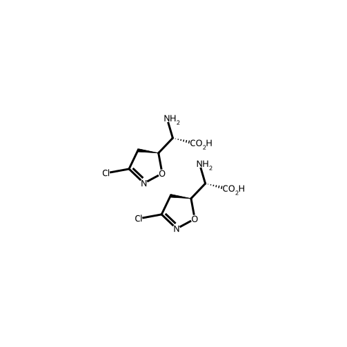 N[C@H](C(=O)O)[C@@H]1CC(Cl)=NO1.N[C@H](C(=O)O)[C@@H]1CC(Cl)=NO1